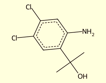 CC(C)(O)c1cc(Cl)c(Cl)cc1N